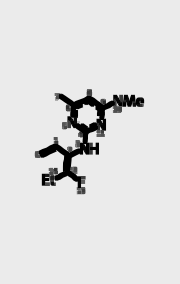 C=C/C(Nc1nc(C)cc(NC)n1)=C(/F)CC